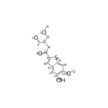 COCC(C=O)CC(=O)c1cc2cc(O)c(OC)cc2s1